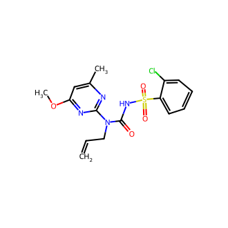 C=CCN(C(=O)NS(=O)(=O)c1ccccc1Cl)c1nc(C)cc(OC)n1